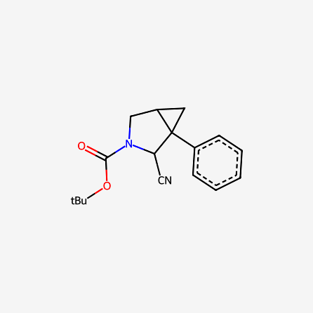 CC(C)(C)OC(=O)N1CC2CC2(c2ccccc2)C1C#N